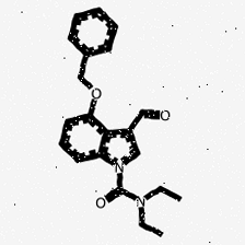 CCN(CC)C(=O)n1cc(C=O)c2c(OCc3ccccc3)cccc21